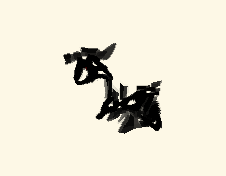 COc1ccc(CN(Cc2ccc(OC)cc2)c2cc(C)c(C(F)(F)F)c(-c3c(Cl)cc4c(N5CC6CCC(C(C)(C)C)(C5)N6C(=O)O)nc(F)nc4c3F)n2)cc1